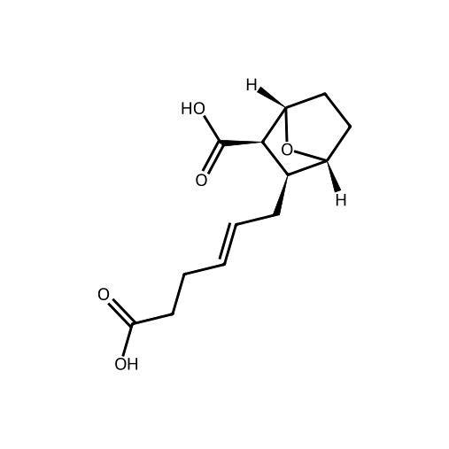 O=C(O)CC/C=C/C[C@H]1[C@@H](C(=O)O)[C@@H]2CC[C@H]1O2